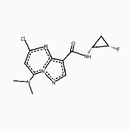 CN(C)c1cc(Cl)nc2c(C(=O)N[C@@H]3C[C@@H]3F)cnn12